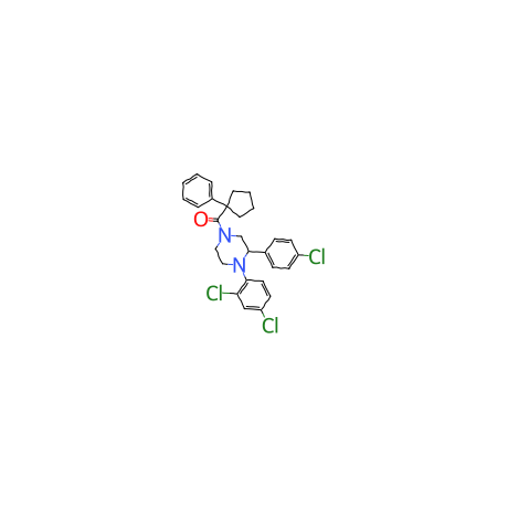 O=C(N1CCN(c2ccc(Cl)cc2Cl)C(c2ccc(Cl)cc2)C1)C1(c2ccccc2)CCCC1